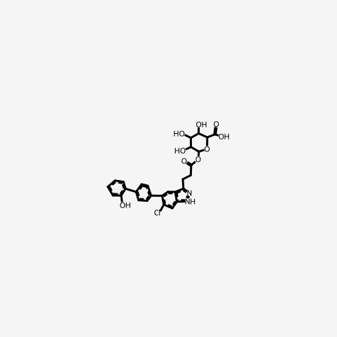 O=C(CCc1n[nH]c2cc(Cl)c(-c3ccc(-c4ccccc4O)cc3)cc12)OC1OC(C(=O)O)C(O)C(O)C1O